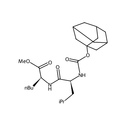 CCCC[C@H](NC(=O)[C@H](CC(C)C)NC(=O)OC12CC3CC(CC(C3)C1)C2)C(=O)OC